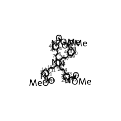 COC(=O)c1cc(C=Cc2nc(C=Cc3ccnc(C(=O)OC)c3)c(C=Cc3ccnc(C(=O)OC)c3)nc2C=Cc2ccnc(C(=O)OC)c2)ccn1